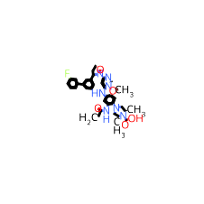 C=CC(=O)Nc1cc(Nc2cc(N3OCCC3c3cccc(-c4cccc(F)c4)c3)ncn2)c(OC)cc1N1C[C@@H](C)N(C(=O)O)[C@@H](C)C1